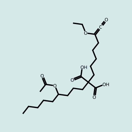 CCCCCC(CCCC(CCCCCC(=C=O)OCC)(C(=O)O)C(=O)O)OC(C)=O